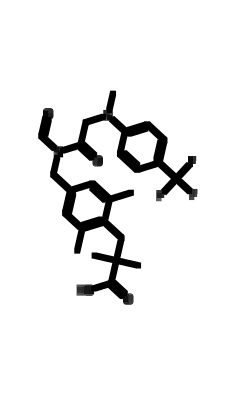 Cc1cc(CN(C=O)C(=O)CN(C)c2ccc(C(F)(F)F)cc2)cc(C)c1CC(C)(C)C(=O)O